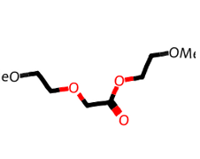 COCCOCC(=O)OCCOC